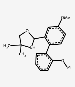 COc1ccc(-c2ccccc2OC(C)C)c(C2NC(C)(C)CO2)c1